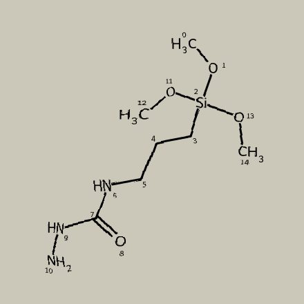 CO[Si](CCCNC(=O)NN)(OC)OC